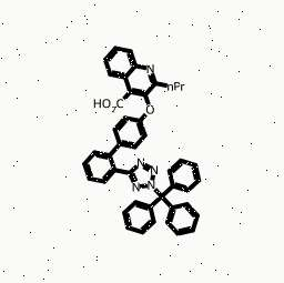 CCCc1nc2ccccc2c(C(=O)O)c1Oc1ccc(-c2ccccc2-c2nnn(C(c3ccccc3)(c3ccccc3)c3ccccc3)n2)cc1